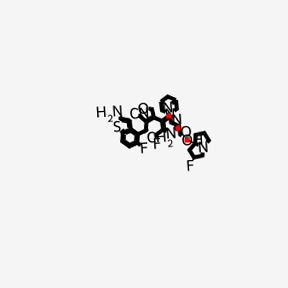 C=C(C1=C(c2c(CF)nc(OC[C@@]34CCCN3C[C@H](F)C4)nc2N2C3CC2CN(CCCO)C3)COC1)c1c(F)ccc2sc(N)c(C#N)c12